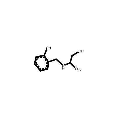 CC(CO)NCc1ccccc1O